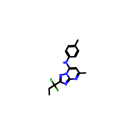 CCC(F)(F)c1nc2nc(C)cc(Nc3ccc(C)cc3)n2n1